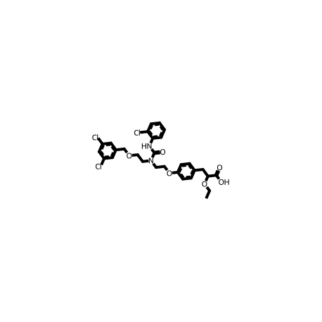 CCOC(Cc1ccc(OCCN(CCOCc2cc(Cl)cc(Cl)c2)C(=O)Nc2ccccc2Cl)cc1)C(=O)O